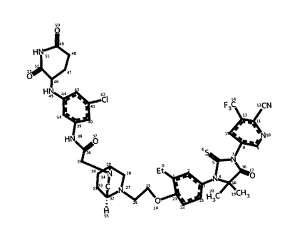 CCc1cc(N2C(=S)N(c3cnc(C#N)c(C(F)(F)F)c3)C(=O)C2(C)C)ccc1OCCN1CC2CC[C@H]1CN2CC(=O)Nc1cc(Cl)cc(NC2CCC(=O)NC2=O)c1